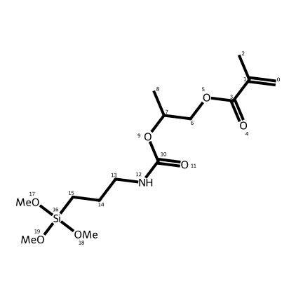 C=C(C)C(=O)OCC(C)OC(=O)NCCC[Si](OC)(OC)OC